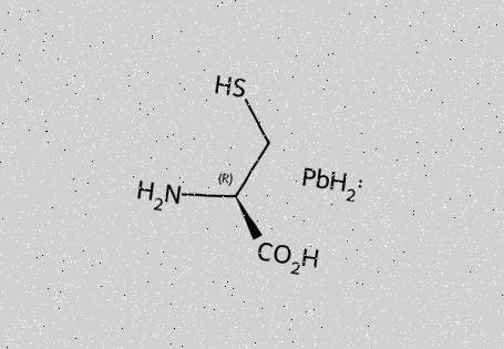 N[C@@H](CS)C(=O)O.[PbH2]